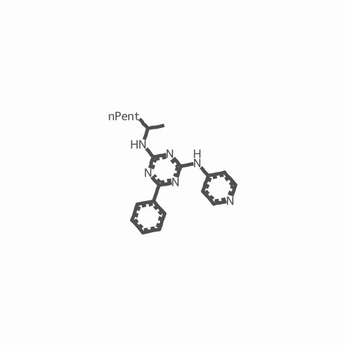 CCCCCC(C)Nc1nc(Nc2ccncc2)nc(-c2ccccc2)n1